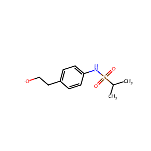 CC(C)S(=O)(=O)Nc1ccc(CC[O])cc1